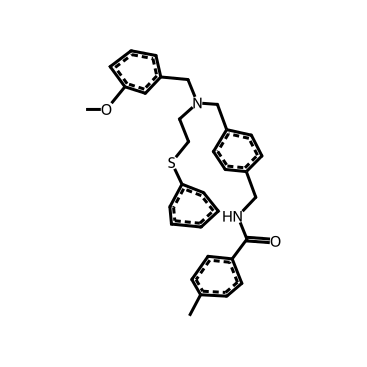 COc1cccc(CN(CCSc2ccccc2)Cc2ccc(CNC(=O)c3ccc(C)cc3)cc2)c1